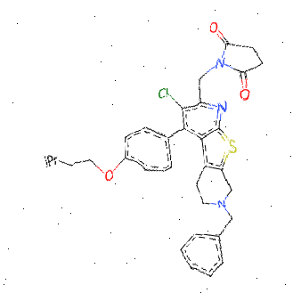 CC(C)CCOc1ccc(-c2c(Cl)c(CN3C(=O)CCC3=O)nc3sc4c(c23)CCN(Cc2ccccc2)C4)cc1